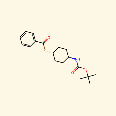 CC(C)(C)OC(=O)N[C@H]1CC[C@H](SC(=O)c2ccccc2)CC1